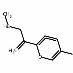 C=C(CBC)C1=C=CC(I)=CO1